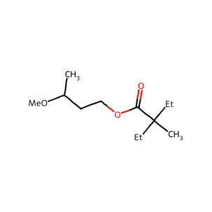 CCC(C)(CC)C(=O)OCCC(C)OC